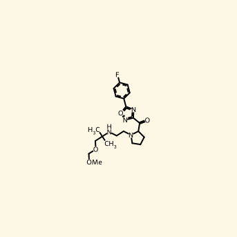 COCOCC(C)(C)NCCN1CCCC1C(=O)c1noc(-c2ccc(F)cc2)n1